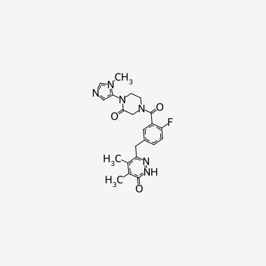 Cc1c(Cc2ccc(F)c(C(=O)N3CCN(c4cncn4C)C(=O)C3)c2)n[nH]c(=O)c1C